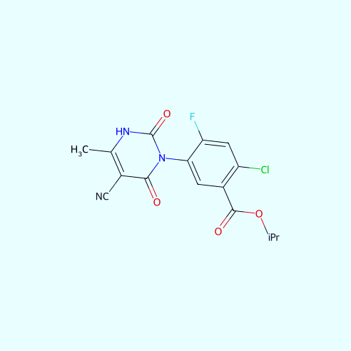 Cc1[nH]c(=O)n(-c2cc(C(=O)OC(C)C)c(Cl)cc2F)c(=O)c1C#N